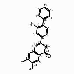 Cc1cc2nc(-c3ccc(-c4ccccc4)c(F)c3)[nH]c(=O)c2cc1C